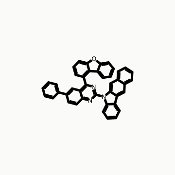 c1ccc(-c2ccc3nc(-n4c5ccccc5c5cc6ccccc6cc54)nc(-c4cccc5oc6ccccc6c45)c3c2)cc1